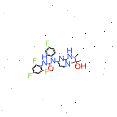 C[C@H](Nc1nccc(N(C(=O)Nc2c(F)cc(F)cc2F)c2ccc(F)cc2)n1)C(C)(C)O